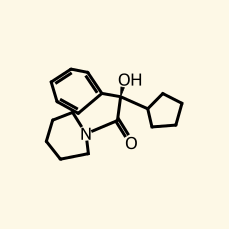 O=C(N1CCCCC1)[C@](O)(c1ccccc1)C1CCCC1